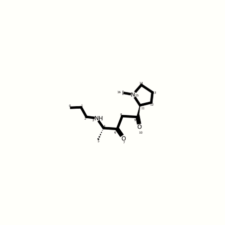 CCCN[C@@H](C)C(=O)CC(=O)[C@@H]1CCCN1I